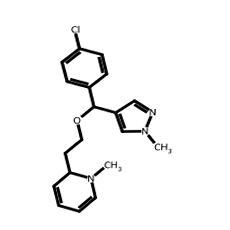 CN1C=CC=CC1CCOC(c1ccc(Cl)cc1)c1cnn(C)c1